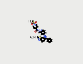 CC(=O)Nc1nc2c(s1)-c1c(c(-c3ccccc3)nn1-c1cccc(CNC(=O)C3CCN(S(C)(=O)=O)CC3)c1)CC2